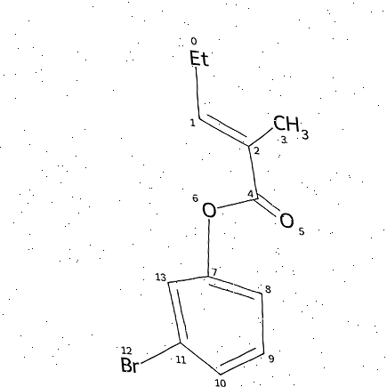 CCC=C(C)C(=O)Oc1cccc(Br)c1